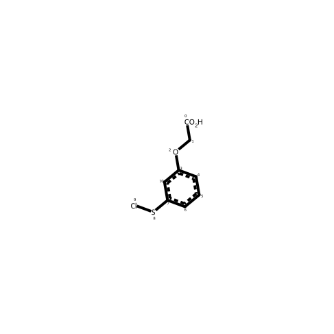 O=C(O)COc1cccc(SCl)c1